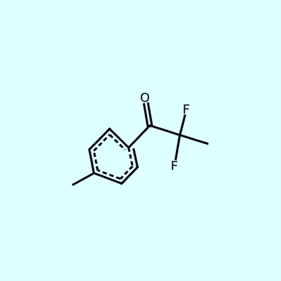 Cc1ccc(C(=O)C(C)(F)F)cc1